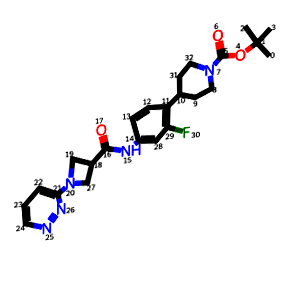 CC(C)(C)OC(=O)N1CCC(c2ccc(NC(=O)C3CN(c4cccnn4)C3)cc2F)CC1